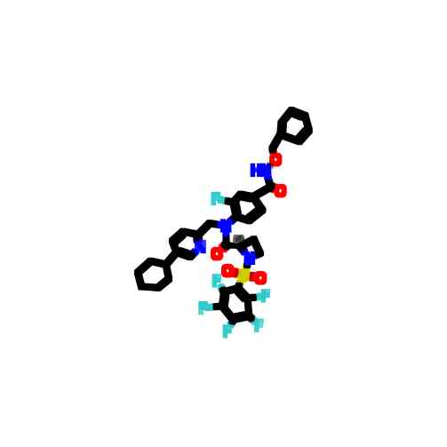 O=C(NOCc1ccccc1)c1ccc(N(Cc2ccc(C3CCCCC3)cn2)C(=O)[C@H]2CCN2S(=O)(=O)c2c(F)c(F)c(F)c(F)c2F)c(F)c1